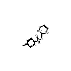 Cc1ccc(S(=O)(=O)N=C2NC=CCN2)cc1